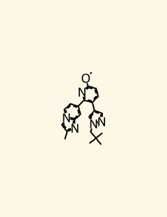 COc1ccc(-c2cnn(CC(C)(C)C)c2)c(-c2ccn3cc(C)nc3c2)n1